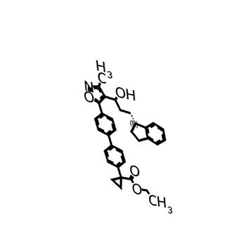 CCOC(=O)C1(c2ccc(-c3ccc(-c4onc(C)c4C(O)CC[C@H]4CCc5ccccc54)cc3)cc2)CC1